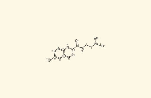 CCCN(CCC)CCNC(=O)c1ccc2cc([125I])ccc2n1